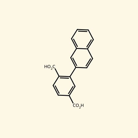 O=C(O)c1ccc(C(=O)O)c(-c2ccc3ccccc3c2)c1